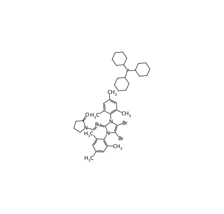 C1CCC(P(C2CCCCC2)C2CCCCC2)CC1.Cc1cc(C)c(-n2c(Br)c(Br)n(-c3c(C)cc(C)cc3C)[c]2=[Ru]=[CH]N2CCCC2=O)c(C)c1